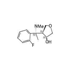 CN[C@](C)(c1ccccc1F)[C@H]1COC[C@H]1O